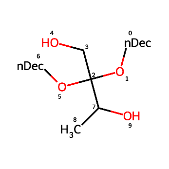 CCCCCCCCCCOC(CO)(OCCCCCCCCCC)C(C)O